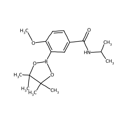 COc1ccc(C(=O)NC(C)C)cc1B1OC(C)(C)C(C)(C)O1